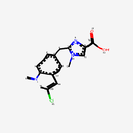 C=Nc1ccc(Cc2nc(C(=O)O)cn2C)cc1/C=C(\C)Cl